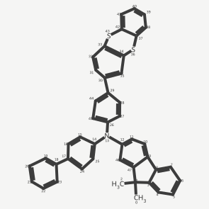 CC1(C)c2ccccc2-c2ccc(N(c3ccc(-c4ccccc4)cc3)c3ccc(-c4ccc5c(c4)Sc4ccccc4S5)cc3)cc21